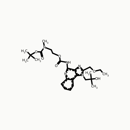 CCOCc1nc2c(NC(=O)OCCN(C)C(=O)OC(C)(C)C)nc3ccccc3c2n1CC(C)(C)O